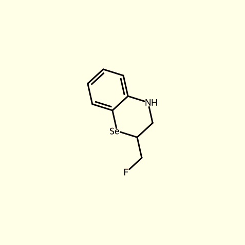 FCC1CNc2ccccc2[Se]1